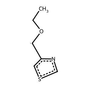 CCO[CH]c1cscn1